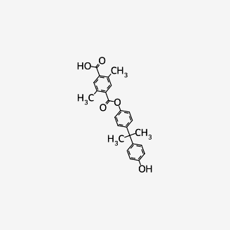 Cc1cc(C(=O)Oc2ccc(C(C)(C)c3ccc(O)cc3)cc2)c(C)cc1C(=O)O